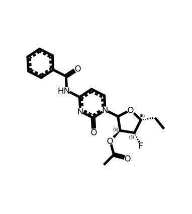 CC[C@H]1OC(n2ccc(NC(=O)c3ccccc3)nc2=O)[C@H](OC(C)=O)[C@H]1F